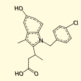 Cc1c(C(C)CC(=O)O)n(Cc2ccc(Cl)cc2)c2ccc(O)cc12